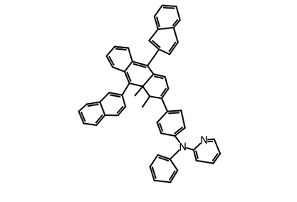 CC1C(c2ccc(N(c3ccccc3)c3ccccn3)cc2)=CC=C2C(c3ccc4ccccc4c3)=c3ccccc3=C(c3ccc4ccccc4c3)C21C